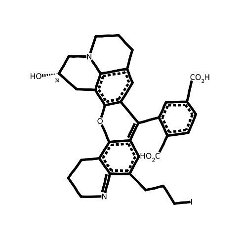 O=C(O)c1ccc(C(=O)O)c(C2=c3cc(CCCI)c4c(c3Oc3c2cc2c5c3C[C@H](O)CN5CCC2)CCCN=4)c1